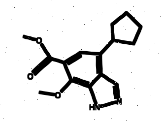 COC(=O)c1cc(C2CCCC2)c2cn[nH]c2c1OC